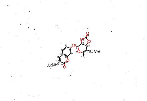 COC1=C(C)OC(Oc2ccc3cc(NC(C)=O)c(=O)oc3c2)C2OC(=O)OC12